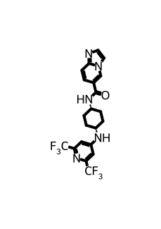 O=C(N[C@H]1CC[C@@H](Nc2cc(C(F)(F)F)nc(C(F)(F)F)c2)CC1)c1ccc2nccn2c1